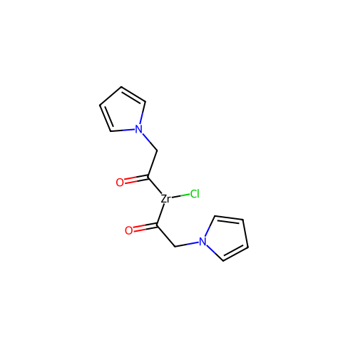 O=[C](Cn1cccc1)[Zr]([Cl])[C](=O)Cn1cccc1